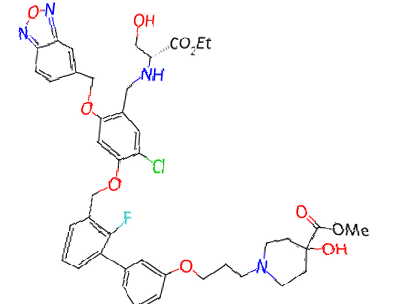 CCOC(=O)[C@@H](CO)NCc1cc(Cl)c(OCc2cccc(-c3cccc(OCCCN4CCC(O)(C(=O)OC)CC4)c3)c2F)cc1OCc1ccc2nonc2c1